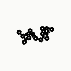 c1ccc(-c2ccc(N(c3ccccc3)c3ccc4c(c3)C3(c5ccccc5-c5ccccc53)c3cccc5c6cc(-c7cccc(N(c8ccccc8)c8ccc9c(c8)C8(c%10ccccc%10-9)c9ccccc9-n9c%10ccccc%10c%10cccc8c%109)c7)ccc6n-4c35)cc2)cc1